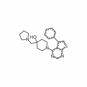 OC1(CN2CCCC2)CCN(c2ncnc3scc(-c4ccccc4)c23)CC1